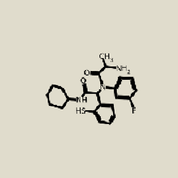 CC(N)C(=O)N(c1cccc(F)c1)C(C(=O)NC1CCCCC1)c1ccccc1S